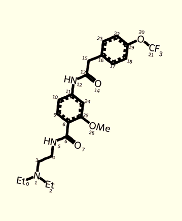 CCN(CC)CCNC(=O)c1ccc(NC(=O)Cc2ccc(OC(F)(F)F)cc2)cc1OC